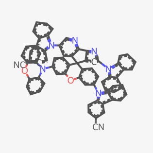 N#Cc1ccc2c(c1)c1ccccc1n2-c1ccc2c(c1)Oc1cc(N3c4ccccc4Oc4ccccc43)ccc1C21c2cc(-n3c4ccccc4c4ccccc43)cnc2-c2ncc(-n3c4ccccc4c4cc(C#N)ccc43)cc21